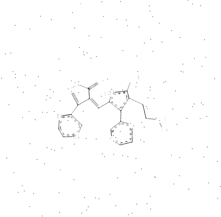 CCNCCc1c(C)[nH]c(C=C2C(=O)NN=C2c2cnccn2)c1-c1cnccn1